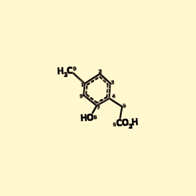 Cc1ccc(CC(=O)O)c(O)c1